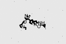 CCN1CCC1COc1cnn(C)c1-c1ccn2nc(NC(=O)[C@H]3C[C@@H]3C)cc2c1